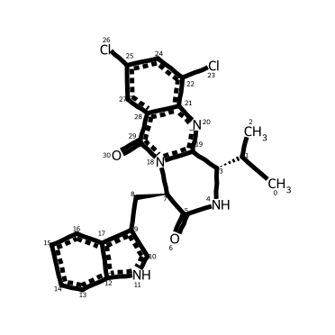 CC(C)[C@@H]1NC(=O)[C@@H](Cc2c[nH]c3ccccc23)n2c1nc1c(Cl)cc(Cl)cc1c2=O